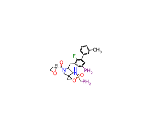 Cc1cccc(-c2cc(P)cc(CC3C(NS(=O)(=O)CP)C4(CC4)CN3C(=O)[C@H]3CCO3)c2F)c1